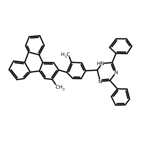 Cc1cc(C2N=C(c3ccccc3)N=C(c3ccccc3)N2)ccc1-c1cc2c3ccccc3c3ccccc3c2cc1C